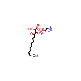 CCCCCCCC/C=C\CCCCCCCC(=O)C(OP(=O)([O-])OCC[N+](C)(C)C)[C@@H](O)CO